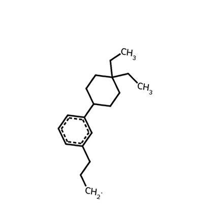 [CH2]CCc1cccc(C2CCC(CC)(CC)CC2)c1